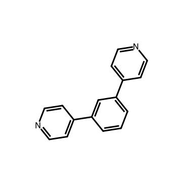 c1cc(-c2ccncc2)cc(-c2ccncc2)c1